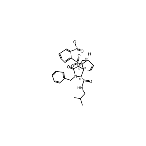 CC(C)CNC(=O)[C@@H]1N(Cc2ccccc2)C(=O)[C@H]2C[C@H]3C=C[C@@]21N3S(=O)(=O)c1ccccc1[N+](=O)[O-]